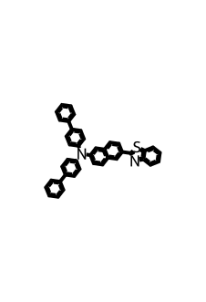 c1ccc(-c2ccc(N(c3ccc(-c4ccccc4)cc3)c3ccc4cc(-c5nc6ccccc6s5)ccc4c3)cc2)cc1